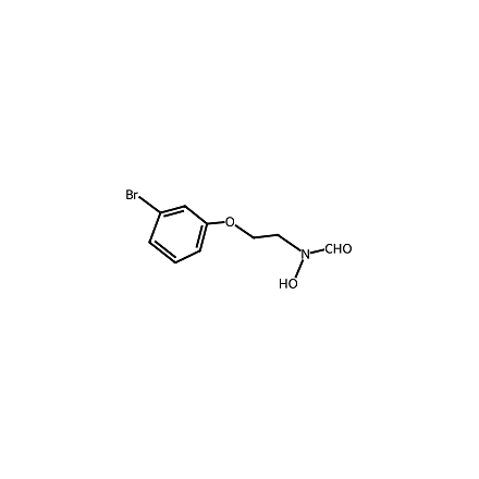 O=CN(O)CCOc1cccc(Br)c1